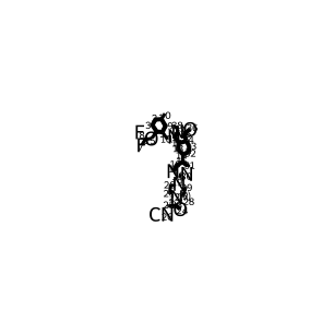 Cc1ccc(OC(F)F)c(Cn2c3cc(-c4cnc(N5CCN(C(=O)CC#N)[C@@H](C)C5)nc4)ccc3c(=O)n2C)c1